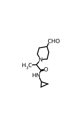 CC(C(=O)NC1CC1)N1CCC(C=O)CC1